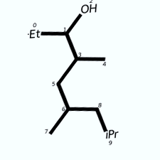 C[CH]C(O)C(C)CC(C)CC(C)C